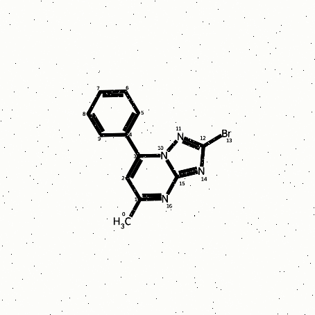 Cc1cc(-c2ccccc2)n2nc(Br)nc2n1